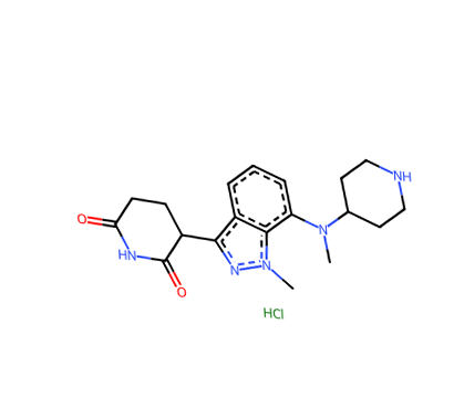 CN(c1cccc2c(C3CCC(=O)NC3=O)nn(C)c12)C1CCNCC1.Cl